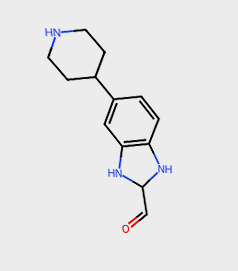 O=CC1Nc2ccc(C3CCNCC3)cc2N1